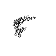 COC1CCN(S(=O)(=O)c2cnc3ccc(-c4cc(C)c(=O)n(C)c4)cn23)C1